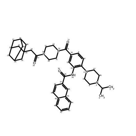 CC(C)N1CCN(c2ccc(C(=O)N3CCN(C(=O)CC45CC6CC(CC(C6)C4)C5)CC3)cc2NC(=O)c2ccc3ccccc3c2)CC1